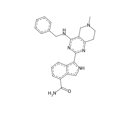 CN1CCc2nc(-c3[nH]cc4c(C(N)=O)cccc34)nc(NCc3ccccc3)c2C1